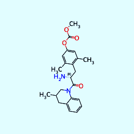 COC(=O)Oc1cc(C)c(C[C@@H](N)C(=O)N2CC(C)Cc3ccccc32)c(C)c1